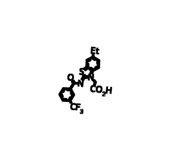 CCc1ccc2c(c1)sc(=NC(=O)c1cccc(C(F)(F)F)c1)n2CC(=O)O